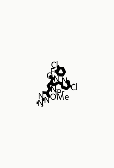 COc1nc(N(C)C)ncc1-c1cc2c(n1C(C)C)C(c1ccc(Cl)cn1)N(c1cccc(Cl)c1F)C2=O